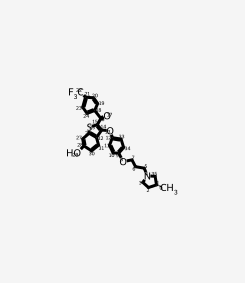 C[C@@H]1CCN(CCCOc2ccc(Oc3c(C(=O)c4ccc(C(F)(F)F)cc4)sc4cc(O)ccc34)cc2)C1